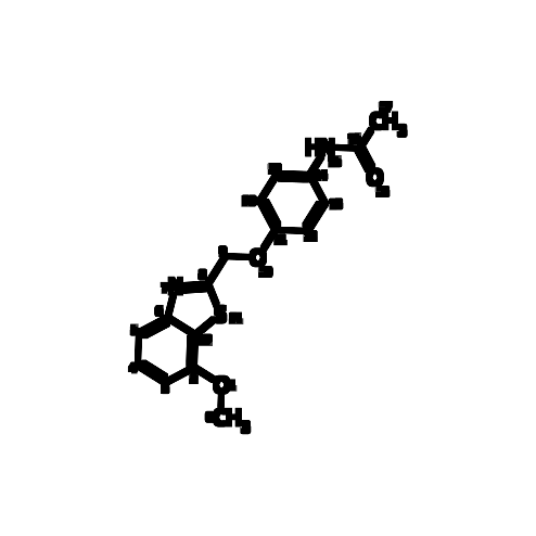 COc1cccc2nc(COc3ccc(NC(C)=O)cc3)sc12